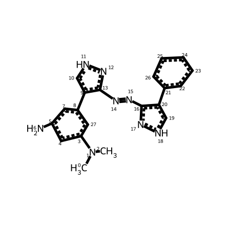 CN(C)c1cc(N)cc(-c2c[nH]nc2N=Nc2n[nH]cc2-c2ccccc2)c1